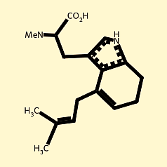 CNC(Cc1c[nH]c2c1C(CC=C(C)C)=CCC2)C(=O)O